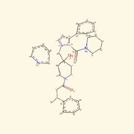 CC(CC(=O)N1CCC(O)(Cn2ccc(-c3ccccc3)c2C(=O)N2CCCCC2)CC1)c1ccccc1.c1ccncc1